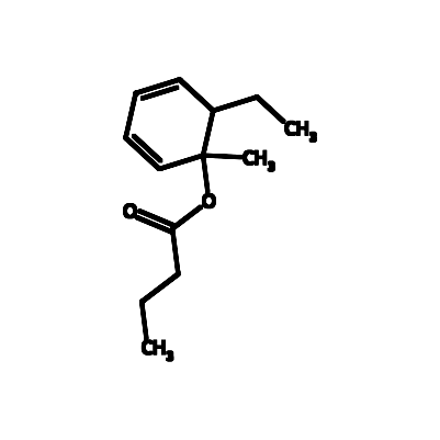 CCCC(=O)OC1(C)C=CC=CC1CC